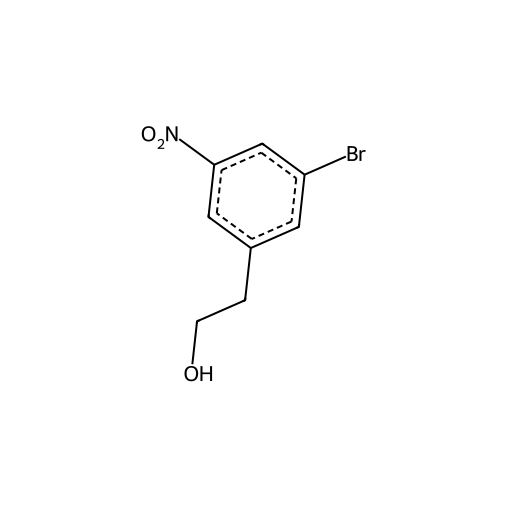 O=[N+]([O-])c1cc(Br)cc(CCO)c1